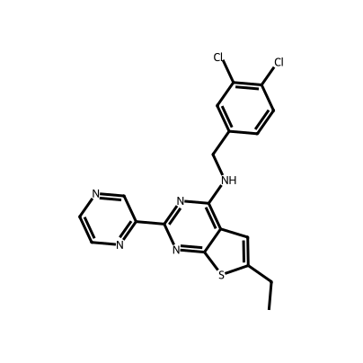 CCc1cc2c(NCc3ccc(Cl)c(Cl)c3)nc(-c3cnccn3)nc2s1